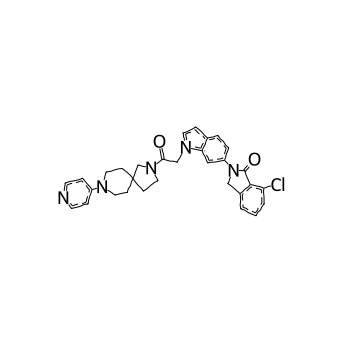 O=C(Cn1ccc2ccc(N3Cc4cccc(Cl)c4C3=O)cc21)N1CCC2(CCN(c3ccncc3)CC2)C1